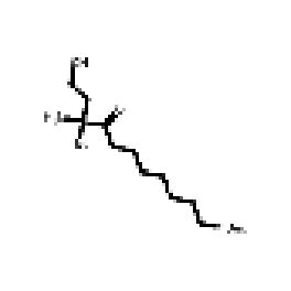 CCCCCCCCCCCCCCCCCC(=O)C(N)(CC)CCO